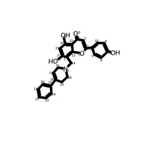 O=c1cc(-c2ccc(O)cc2)oc2c(CN3CC=C(c4ccccc4)CC3)c(O)cc(O)c12